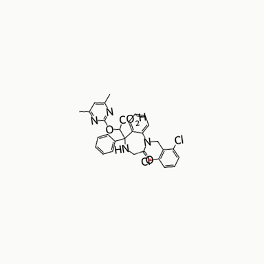 Cc1cc(C)nc(OC(C(=O)O)C2(c3ccccc3)NCC(=O)N(Cc3c(Cl)cccc3Cl)c3ccccc32)n1